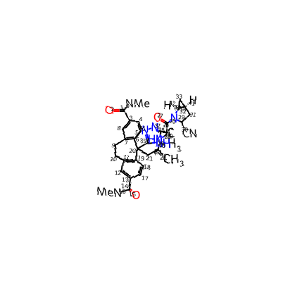 CNC(=O)c1ccc2c(c1)CCc1cc(C(=O)NC)ccc1C2(C[C@H](C)NCC(=O)N1C(C#N)C[C@@H]2C[C@@H]21)c1nnc(C)[nH]1